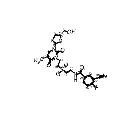 Cc1cn([C@H]2CC[C@@H](CO)O2)c(=O)n(CCS(=O)(=O)CCNC(=O)c2ccc(F)c(C#N)c2)c1=O